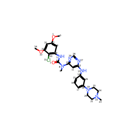 COc1cc(NC(=O)N(C)c2cc(Nc3cccc(N4CCN(C)CC4)c3)ncn2)c(Cl)c(OC)c1